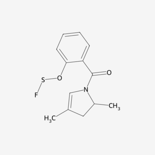 CC1=CN(C(=O)c2ccccc2OSF)C(C)C1